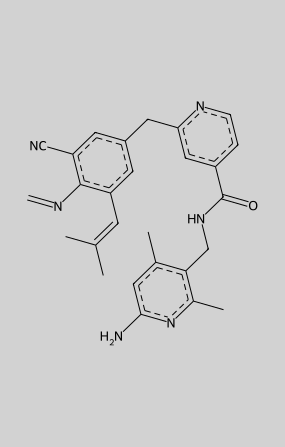 C=Nc1c(C#N)cc(Cc2cc(C(=O)NCc3c(C)cc(N)nc3C)ccn2)cc1C=C(C)C